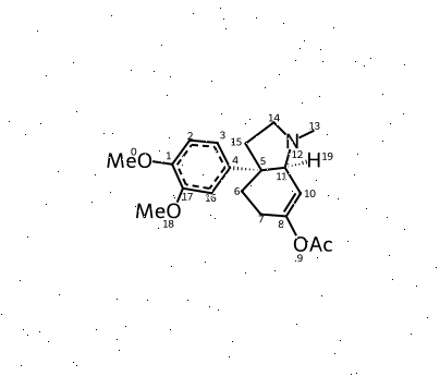 COc1ccc([C@@]23CCC(OC(C)=O)=C[C@@H]2N(C)CC3)cc1OC